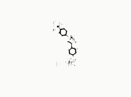 NS(=O)(=O)Oc1ccc(-c2cn(-c3ccc(C(F)(F)F)cc3)nn2)cc1